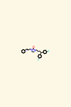 O=C1N(C/C=C/c2ccccc2)CCN1CCCC(c1ccc(F)cc1)c1ccc(F)cc1